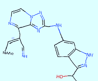 CN/C=C(\C=N)c1nccn2nc(Nc3ccc4c(C(O)C(C)C)n[nH]c4c3)nc12